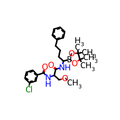 COCC(NC(=O)c1cccc(Cl)c1)C(=O)NC(CCCc1ccccc1)B1OC(C)(C)C(C)(C)O1